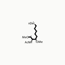 CCCCCCCCCCCCCCC[C@@H](OC)[C@H](COC)NC(C)=O